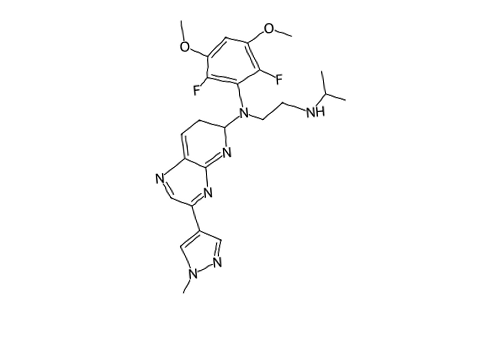 COc1cc(OC)c(F)c(N(CCNC(C)C)C2CC=c3ncc(-c4cnn(C)c4)nc3=N2)c1F